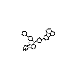 c1ccc(-c2ccc(N(c3ccc(-c4ccc5c(c4)-c4cccc6cccc-5c46)cc3)c3cccc4c3sc3ccncc34)cc2)cc1